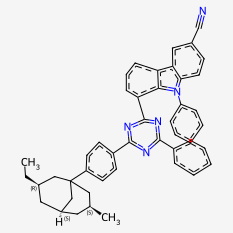 CC[C@@H]1C[C@@H]2C[C@H](C)CC(c3ccc(-c4nc(-c5ccccc5)nc(-c5cccc6c7cc(C#N)ccc7n(-c7ccccc7)c56)n4)cc3)(C1)C2